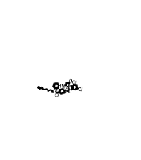 CCCCCCCCN(C(=O)c1ccc(Cl)c(Nc2cc(=O)n(-c3c(Cl)cc(Cl)cc3Cl)[nH]2)c1)c1ccccc1